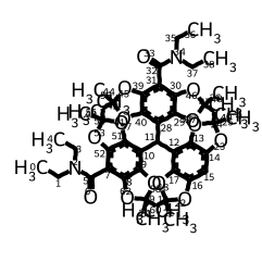 CCN(CC)C(=O)c1c2c(c(C(c3c4c(cc5c3OC(C)(C)O5)OC(C)(C)O4)c3c4c(c(C(=O)N(CC)CC)c5c3OC(C)(C)O5)OC(C)(C)O4)c3c1OC(C)(C)O3)OC(C)(C)O2